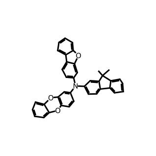 CC1(C)c2ccccc2-c2ccc(N(c3ccc4c(c3)Oc3ccccc3O4)c3ccc4c(c3)oc3ccccc34)cc21